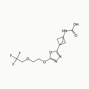 O=C(O)NC12CC(c3nnc(OCCOCC(F)(F)F)o3)(C1)C2